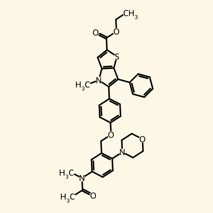 CCOC(=O)c1cc2c(s1)c(-c1ccccc1)c(-c1ccc(OCc3cc(N(C)C(C)=O)ccc3N3CCOCC3)cc1)n2C